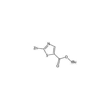 CC(C)(C)OC(=O)c1cn[c]([Zn])s1